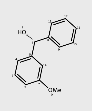 COc1cccc([C@H](O)c2ccccc2)c1